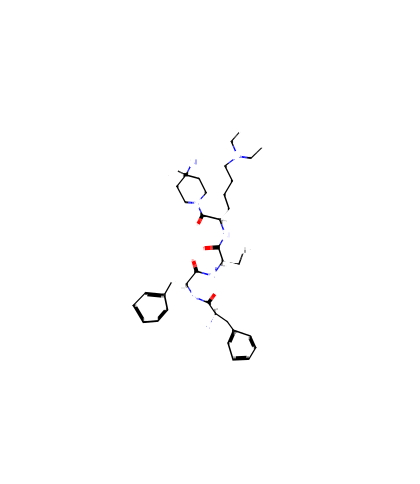 CC(C)C[C@@H](NC(=O)[C@@H](Cc1ccccc1)NC(=O)[C@H](N)Cc1ccccc1)C(=O)N[C@H](CCCCN(CC(=O)O)CC(=O)O)C(=O)N1CCC(N)(C(=O)O)CC1